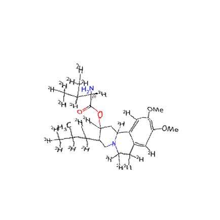 [2H]c1c(OC)c(OC)c([2H])c2c1C1([2H])CC([2H])(OC(=O)[C@@]([2H])(N)C([2H])(C([2H])([2H])[2H])C([2H])([2H])[2H])C(C([2H])([2H])C([2H])(C)C([2H])([2H])[2H])CN1C([2H])([2H])C2([2H])[2H]